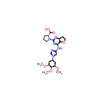 COc1cc(-n2cnc(Nc3nc(N4CCC[C@H]4C(=O)O)nc4ccoc34)c2)cc(OC)c1OC